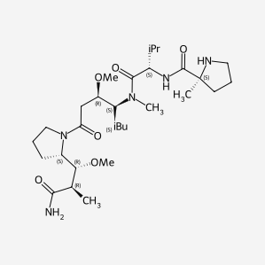 CC[C@H](C)[C@@H]([C@@H](CC(=O)N1CCC[C@H]1[C@H](OC)[C@@H](C)C(N)=O)OC)N(C)C(=O)[C@@H](NC(=O)[C@]1(C)CCCN1)C(C)C